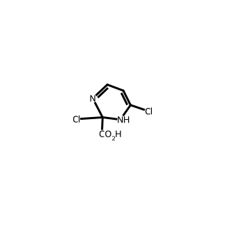 O=C(O)C1(Cl)N=CC=C(Cl)N1